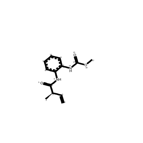 C=C[C@@H](C)C(=O)Nc1ccccc1NC(=O)OC